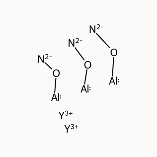 [N-2][O][Al].[N-2][O][Al].[N-2][O][Al].[Y+3].[Y+3]